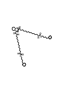 O=C(NCCCCCCCCCCCCNC(=O)OCCCCc1ccccc1)N[C@H]1CCCC[C@@H]1NC(=O)NCCCCCCCCCCCCNC(=O)OCCCCc1ccccc1